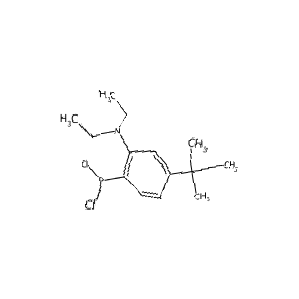 CCN(CC)c1cc(C(C)(C)C)ccc1P(Cl)Cl